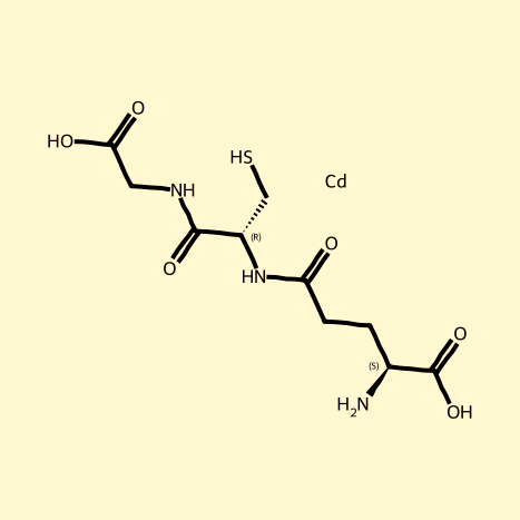 N[C@@H](CCC(=O)N[C@@H](CS)C(=O)NCC(=O)O)C(=O)O.[Cd]